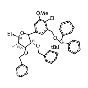 CC[C@H]1OC(c2cc(CO[Si](c3ccccc3)(c3ccccc3)C(C)(C)C)c(Cl)c(OC)c2)[C@H](OCc2ccccc2)[C@@H](OCc2ccccc2)[C@@H]1C